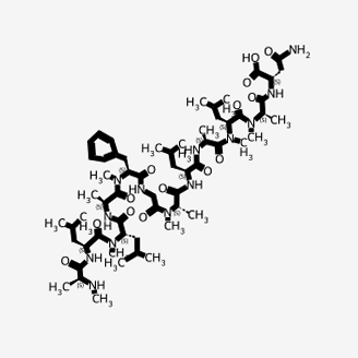 CN[C@@H](C)C(=O)N[C@@H](CC(C)C)C(=O)N(C)[C@@H](CC(C)C)C(=O)N[C@@H](C)C(=O)N(C)[C@@H](Cc1ccccc1)C(=O)NCC(=O)N(C)[C@@H](C)C(=O)N[C@@H](CC(C)C)C(=O)N[C@@H](C)C(=O)N(C)[C@@H](CC(C)C)C(=O)N(C)[C@@H](C)C(=O)N[C@@H](CC(N)=O)C(=O)O